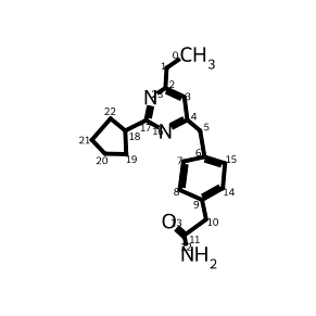 CCc1cc(Cc2ccc(CC(N)=O)cc2)nc(C2CCCC2)n1